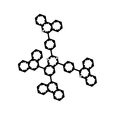 c1ccc2c(c1)cc(-c1cc(-c3cc4ccccc4c4ccccc34)c3nc(-c4ccc(-c5nc6ccccc6c6ccccc56)cc4)nc(-c4ccc(-c5nc6ccccc6c6ccccc56)cc4)c3c1)c1ccccc12